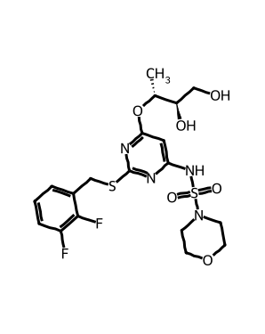 C[C@@H](Oc1cc(NS(=O)(=O)N2CCOCC2)nc(SCc2cccc(F)c2F)n1)[C@H](O)CO